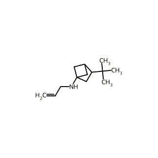 C=CCNC12CC(C1)C(C(C)(C)C)C2